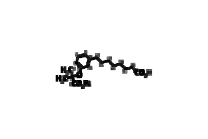 CCOC(=O)C(C)(C)Oc1cccc(CCCCCCCC(=O)O)c1